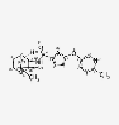 Cc1ccc(Oc2ccc(C(=O)N[C@@H]3C4CCN(CC4)[C@H]3C)s2)cn1